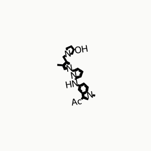 CC(=O)c1cn(C)c2ccc(Nc3cccc(-n4cc(C)c(CN5CC[C@@H](O)C5)c4)n3)cc12